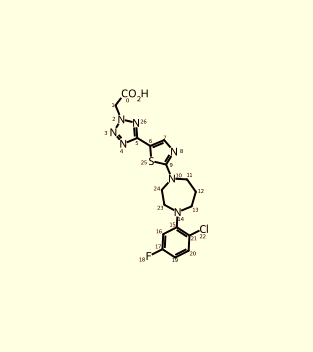 O=C(O)Cn1nnc(-c2cnc(N3CCCN(c4cc(F)ccc4Cl)CC3)s2)n1